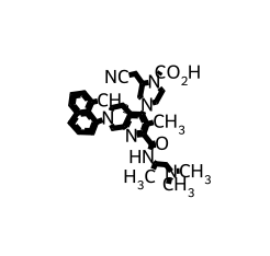 Cc1c(C(=O)NC(C)CN(C)C)nc2c(c1N1CCN(C(=O)O)C(CC#N)C1)CCN(c1cccc3cccc(C)c13)C2